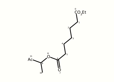 CCOC(=O)CCCCCC(=O)OC(C)C(C)=O